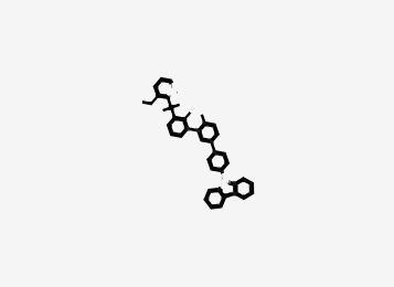 CCc1cccnc1C(C)(C)c1cccc(-c2cc(-c3ccc(-n4c5ccccc5c5ccccc54)cc3)ccc2C)c1C